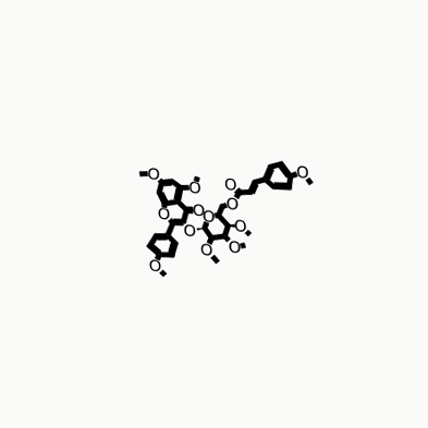 COc1ccc(/C=C/C(=O)OCC2O[C@@H](Oc3c(-c4ccc(OC)cc4)oc4cc(OC)cc(OC)c4c3=O)C(OC)C(OC)[C@@H]2OC)cc1